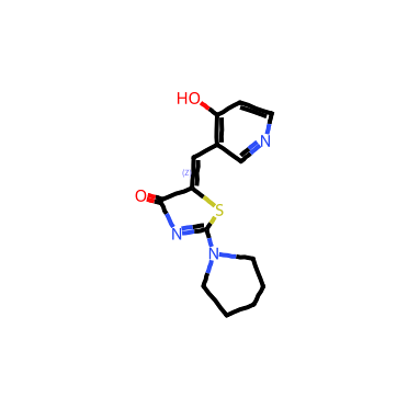 O=C1N=C(N2CCCCC2)S/C1=C\c1cnccc1O